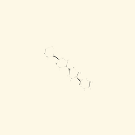 C1CSC(=C2CCC(C3CCC(=C4SCCCS4)CC3)CC2)SC1